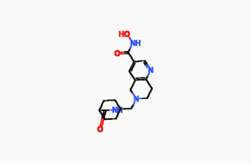 O=C(NO)c1cnc2c(c1)CN(CC13CCC(CC1)C(=O)N3)CC2